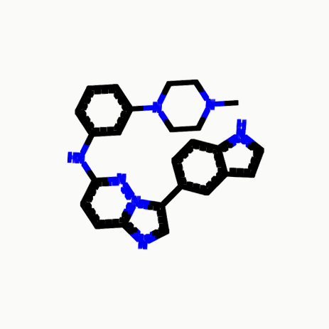 CN1CCN(c2cccc(Nc3ccc4ncc(-c5ccc6[nH]ccc6c5)n4n3)c2)CC1